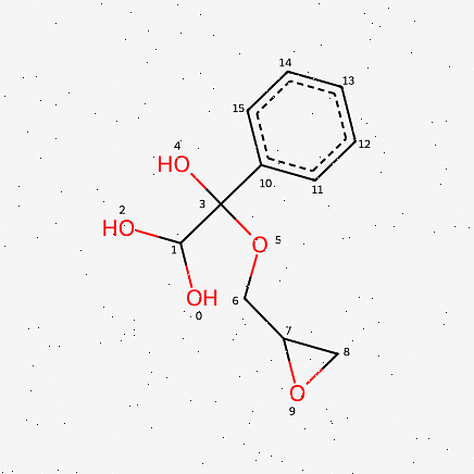 OC(O)C(O)(OCC1CO1)c1ccccc1